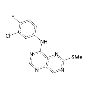 CSc1ncc2ncnc(Nc3ccc(F)c(Cl)c3)c2n1